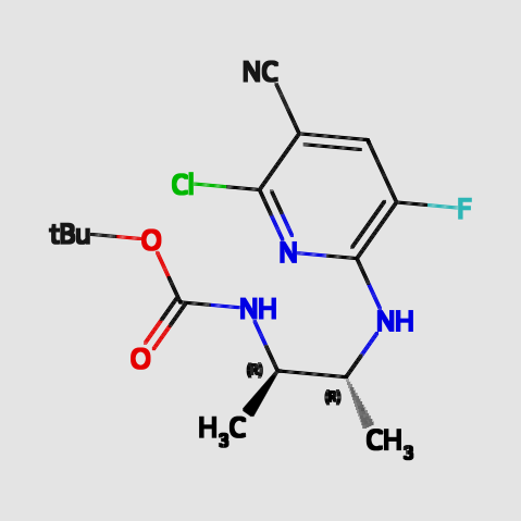 C[C@@H](NC(=O)OC(C)(C)C)[C@@H](C)Nc1nc(Cl)c(C#N)cc1F